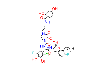 O=C(NCCCN1CCN(C(=O)NC(C(=O)N[C@H]2Cc3ccc(F)c(C(=O)O)c3OB2O)c2cc(F)c(O)c(O)c2Cl)C(=O)C1=O)c1ccc(O)cc1O